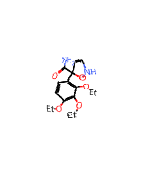 CCOc1ccc(C2(C(N)=O)C=CNO2)c(OCC)c1OCC